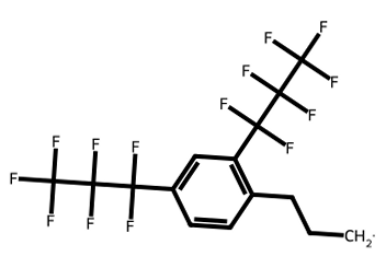 [CH2]CCc1ccc(C(F)(F)C(F)(F)C(F)(F)F)cc1C(F)(F)C(F)(F)C(F)(F)F